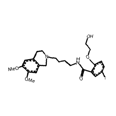 COc1cc2c(cc1OC)CN(CCCCNC(=O)c1cc(I)ccc1OCCO)CC2